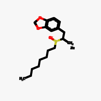 CCCCCCCC[S+]([O-])C(C)Cc1ccc2c(c1)OCO2.[Zn]